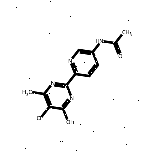 CC(=O)Nc1ccc(-c2nc(C)c(Cl)c(O)n2)nc1